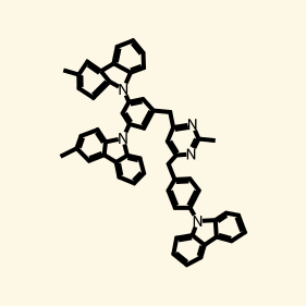 Cc1ccc2c(c1)c1ccccc1n2-c1cc(Cc2cc(Cc3ccc(-n4c5ccccc5c5ccccc54)cc3)nc(C)n2)cc(-n2c3ccccc3c3cc(C)ccc32)c1